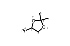 CC(C)C1COC(C)(C)O1